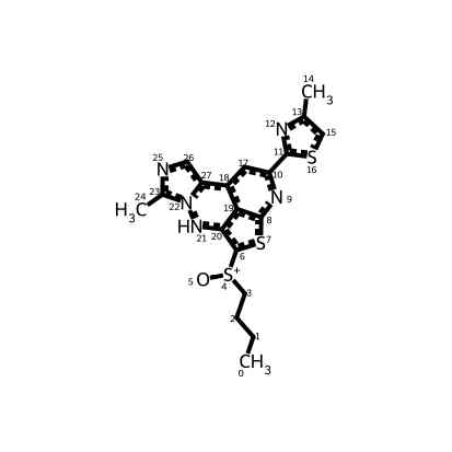 CCCC[S+]([O-])c1sc2nc(-c3nc(C)cs3)cc3c2c1[nH]n1c(C)ncc31